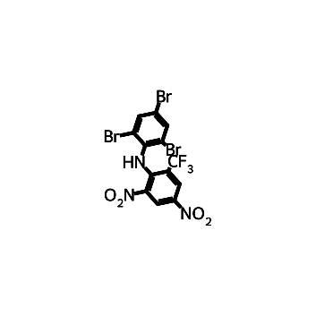 O=[N+]([O-])c1cc([N+](=O)[O-])c(Nc2c(Br)cc(Br)cc2Br)c(C(F)(F)F)c1